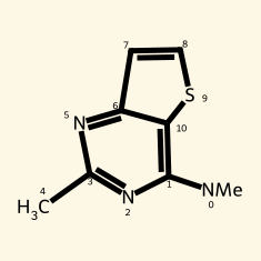 CNc1nc(C)nc2ccsc12